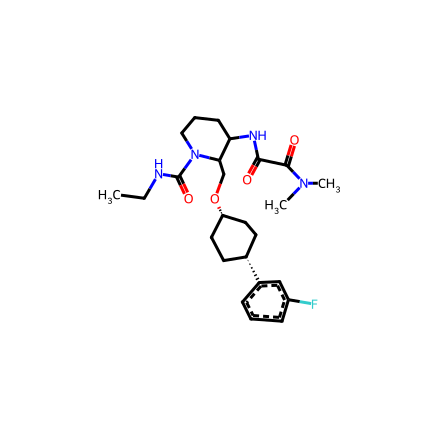 CCNC(=O)N1CCCC(NC(=O)C(=O)N(C)C)C1CO[C@H]1CC[C@@H](c2cccc(F)c2)CC1